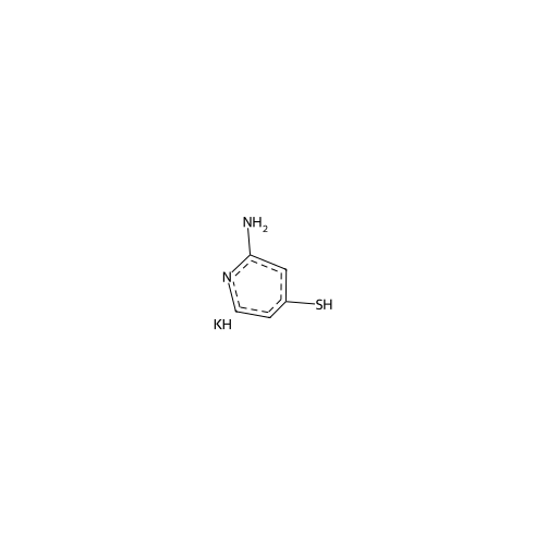 Nc1cc(S)ccn1.[KH]